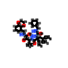 CCC(NC(=O)C([SiH3])(CC(C)C)NC(=O)NCc1ccccc1)C(=O)C(=O)NCc1cccc2c1OCCO2